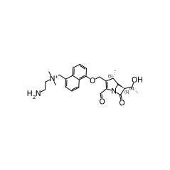 C[C@H]1C(COc2cccc3c(C[N+](C)(C)CCN)cccc23)=C(C=O)N2C(=O)[C@H]([C@@H](C)O)C12